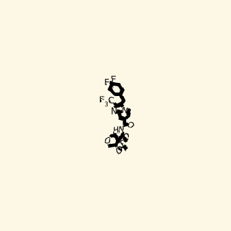 CS(=O)(=O)C1(CNC(=O)c2ccn3c(CC4CCC(F)(F)CC4)c(C(F)(F)F)nc3c2)CCOCC1